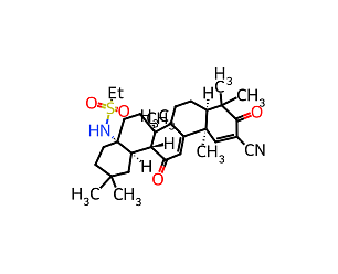 CCS(=O)(=O)N[C@@]12CCC(C)(C)C[C@@H]1[C@H]1C(=O)C=C3[C@]4(C)C=C(C#N)C(=O)C(C)(C)[C@@H]4CC[C@@]3(C)[C@]1(C)CC2